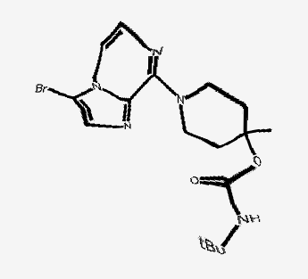 CC(C)(C)NC(=O)OC1(C)CCN(c2nccn3c(Br)cnc23)CC1